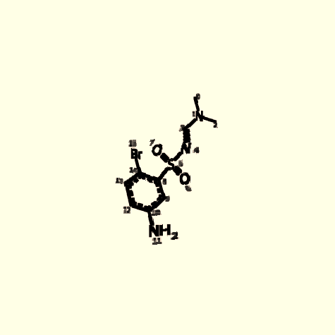 CN(C)C=NS(=O)(=O)c1cc(N)ccc1Br